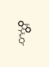 CC(NON1CCN(C)CC1)N1c2ccccc2Nc2ccccc21